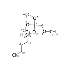 COCC(OC)(OC)O[SiH2]CCCCl